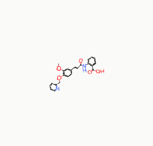 COc1cc(/C=C/C(=O)Nc2ccccc2C(=O)O)ccc1OCc1ccccn1